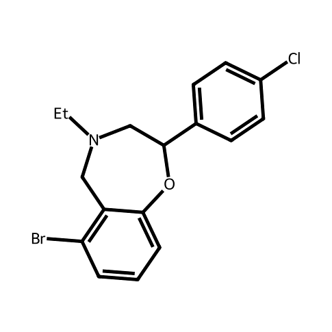 CCN1Cc2c(Br)cccc2OC(c2ccc(Cl)cc2)C1